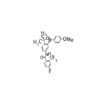 COc1ccc(B2OC(C)(C)c3ccc(NC(=O)c4ccc(F)cc4C(F)(F)F)cc32)cc1